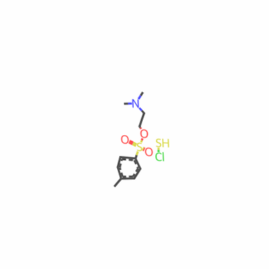 Cc1ccc(S(=O)(=O)OCCN(C)C)cc1.SCl